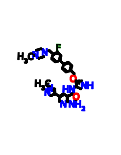 CN1CCN(Cc2ccc(-c3ccc(CO[C@H]4CNCC4NC(=O)c4cc(-c5cnn(C)c5)cnc4N)cc3)cc2F)CC1